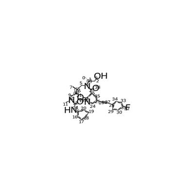 C[C@H](CO)N1C[C@H](C)[C@H](CN(C)C(=O)Nc2ccccc2)Oc2ncc(C#Cc3ccc(F)cc3)cc2C1=O